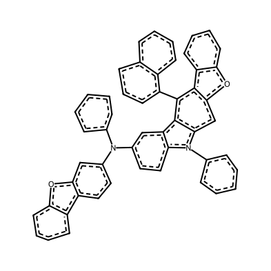 c1ccc(N(c2ccc3c(c2)oc2ccccc23)c2ccc3c(c2)c2c(-c4cccc5ccccc45)c4c(cc2n3-c2ccccc2)oc2ccccc24)cc1